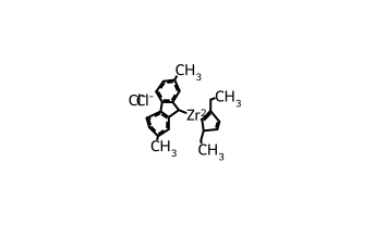 CCC1=[C]([Zr+2][CH]2c3cc(C)ccc3-c3ccc(C)cc32)C(CC)C=C1.[Cl-].[Cl-]